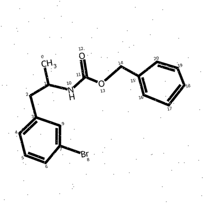 CC(Cc1cccc(Br)c1)NC(=O)OCc1ccccc1